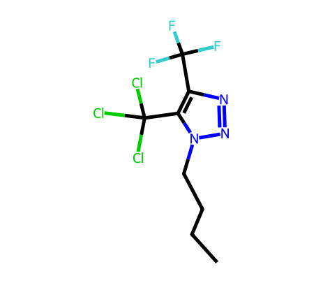 CCCCn1nnc(C(F)(F)F)c1C(Cl)(Cl)Cl